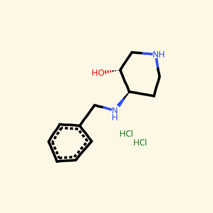 Cl.Cl.O[C@@H]1CNCC[C@H]1NCc1ccccc1